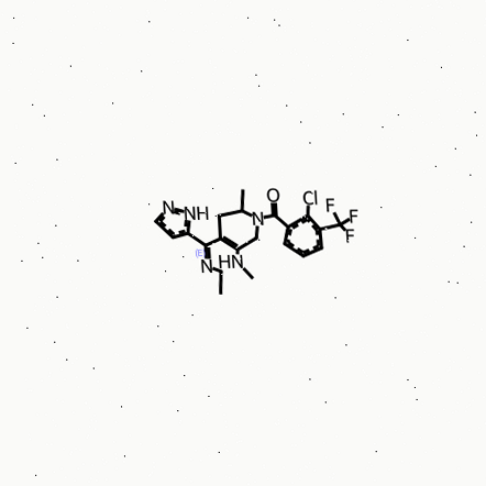 CC/N=C(\C1=C(NC)CN(C(=O)c2cccc(C(F)(F)F)c2Cl)C(C)C1)c1ccn[nH]1